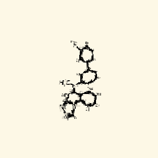 CN(c1cccc(-c2cccc(F)c2)c1)c1nc2nncn2c2ccccc12